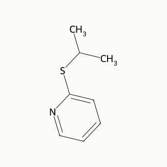 CC(C)Sc1ccccn1